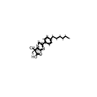 CCCCCCc1ccc(-c2cnc([C@@](C)(Cl)C(=O)O)cn2)cc1